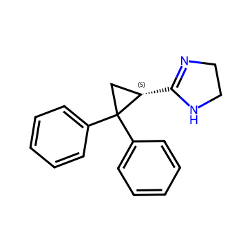 c1ccc(C2(c3ccccc3)C[C@@H]2C2=NCCN2)cc1